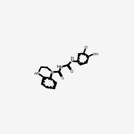 O=C(NC(=O)N1CCNc2c[c]ccc21)Nc1ccc(O)c(Cl)c1